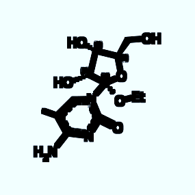 CCO[C@@]1(n2cc(C)c(N)nc2=O)O[C@H](CO)[C@@H](O)[C@H]1O